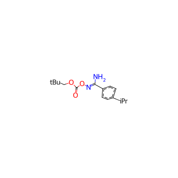 CC(C)c1ccc(/C(N)=N/OC(=O)OCC(C)(C)C)cc1